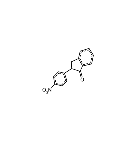 O=C1c2ccccc2CC1c1ccc([N+](=O)[O-])cc1